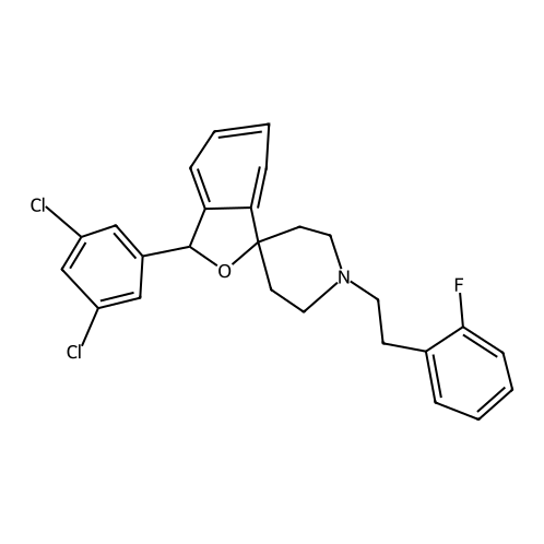 Fc1ccccc1CCN1CCC2(CC1)OC(c1cc(Cl)cc(Cl)c1)c1ccccc12